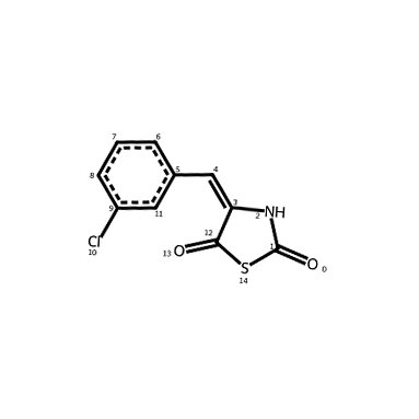 O=C1NC(=Cc2cccc(Cl)c2)C(=O)S1